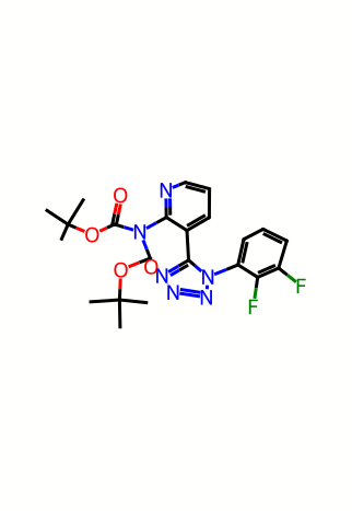 CC(C)(C)OC(=O)N(C(=O)OC(C)(C)C)c1ncccc1-c1nnnn1-c1cccc(F)c1F